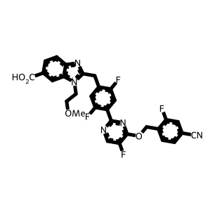 COCCn1c(Cc2cc(F)c(-c3ncc(F)c(OCc4ccc(C#N)cc4F)n3)cc2F)nc2ccc(C(=O)O)cc21